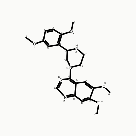 COc1ccc(OC)c(C2CN(c3ncnc4cc(OC)c(OC)cc34)CCN2)c1